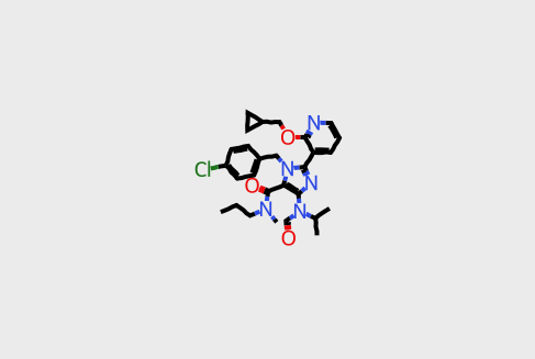 CCCN(C)C(=O)c1c(N(C=O)C(C)C)nc(-c2cccnc2OCC2CC2)n1Cc1ccc(Cl)cc1